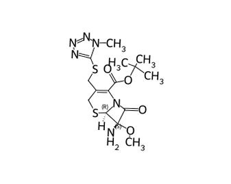 CO[C@@]1(N)C(=O)N2C(C(=O)OC(C)(C)C)=C(CSc3nnnn3C)CS[C@@H]21